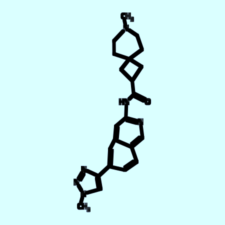 CN1CCC2(CC1)CC(C(=O)Nc1cc3cc(-c4cn(C)nn4)ccc3cn1)C2